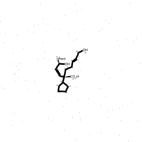 CCCCC[C@@H](O)/C=C\[C@@](CC/C=C/CO)(C(=O)O)C1CCCC1